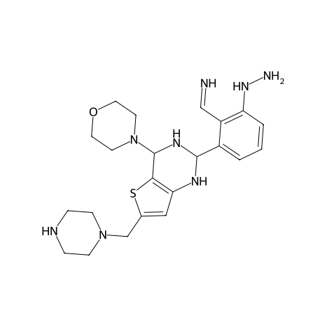 N=Cc1c(NN)cccc1C1Nc2cc(CN3CCNCC3)sc2C(N2CCOCC2)N1